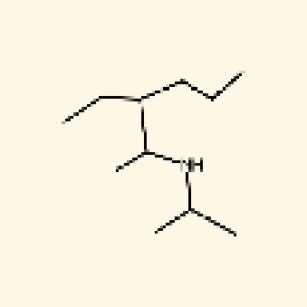 CCCC(CC)C(C)NC(C)C